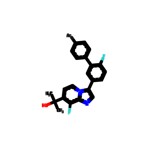 CC(=O)c1ccc(-c2cc(-c3cnc4c(F)c(C(C)(C)O)ccn34)ccc2F)cc1